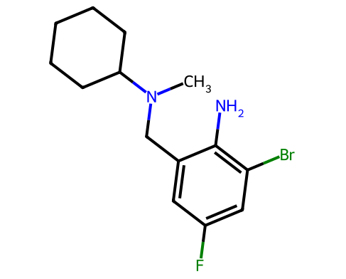 CN(Cc1cc(F)cc(Br)c1N)C1CCCCC1